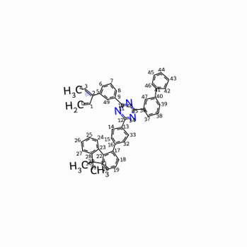 C=C/C(=C\C)c1cccc(-c2nc(-c3ccc(-c4cccc5c4-c4ccccc4C5(C)C)cc3)nc(-c3cccc(-c4ccccc4)c3)n2)c1